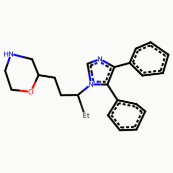 CCC(CCC1CNCCO1)n1cnc(-c2ccccc2)c1-c1ccccc1